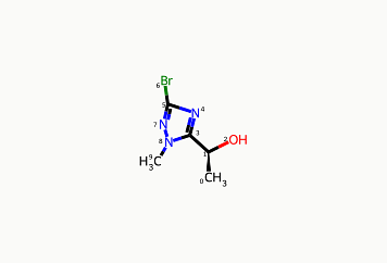 C[C@H](O)c1nc(Br)nn1C